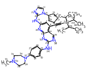 CC(C)[Si](C#Cc1cc(Nc2nccn2C2CCCC2)nc2nc(Nc3ccc(N4CCN(C)CC4)cc3)ncc12)(C(C)C)C(C)C